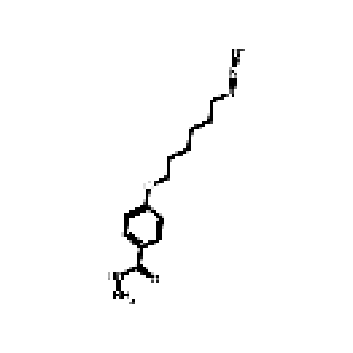 [N-]=[N+]=NCCCCCCOc1ccc(C(=O)NN)cc1